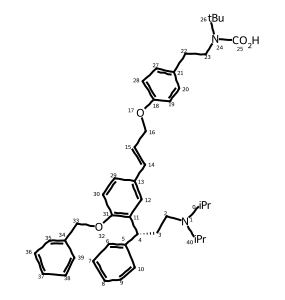 CC(C)N(CC[C@H](c1ccccc1)c1cc(/C=C/COc2ccc(CCN(C(=O)O)C(C)(C)C)cc2)ccc1OCc1ccccc1)C(C)C